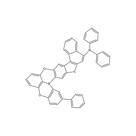 c1ccc(-c2ccc3c(c2)B2c4cc5sc6cc(N(c7ccccc7)c7ccccc7)c7ccccc7c6c5cc4Oc4cccc(c42)O3)cc1